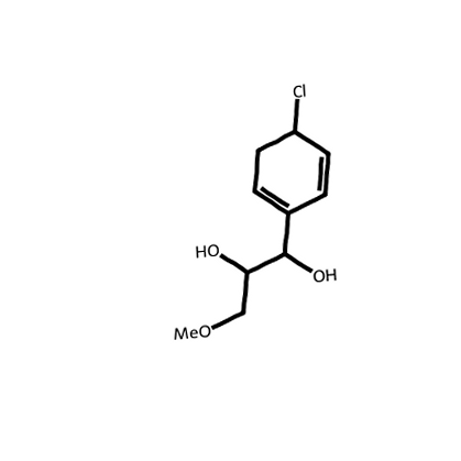 COCC(O)C(O)C1=CCC(Cl)C=C1